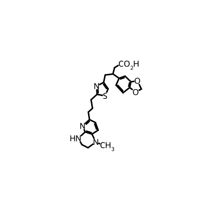 CN1CCNc2nc(CCCc3nc(CC(CC(=O)O)c4ccc5c(c4)OCO5)cs3)ccc21